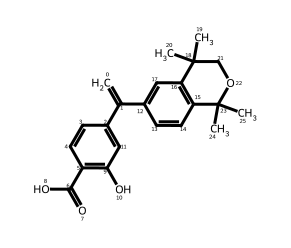 C=C(c1ccc(C(=O)O)c(O)c1)c1ccc2c(c1)C(C)(C)COC2(C)C